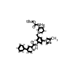 Cc1cn(-c2cc(CN3CC[C@@H](F)[C@H](NC(=O)OC(C)(C)C)C3)cc(NC(=O)c3cc(-c4ccccc4)ccn3)c2)cn1